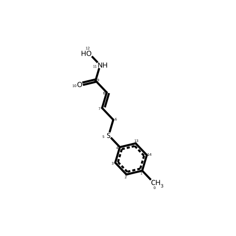 Cc1ccc(SCC=CC(=O)NO)cc1